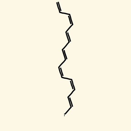 C=C\C=C/C=C/C=C/C=C\C=C/C=C/I